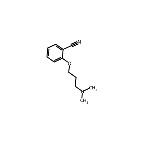 CN(C)CCCOc1ccccc1C#N